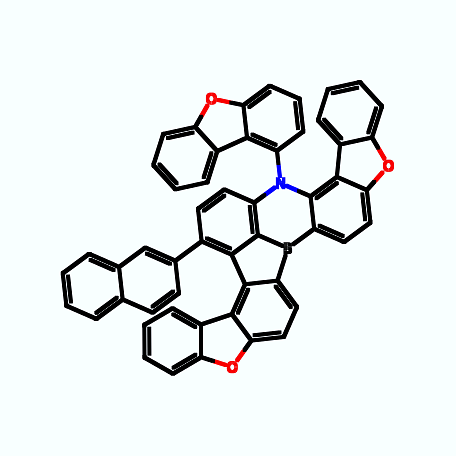 c1ccc2cc(-c3ccc4c5c3-c3c(ccc6oc7ccccc7c36)B5c3ccc5oc6ccccc6c5c3N4c3cccc4oc5ccccc5c34)ccc2c1